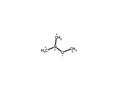 CO[Si](C)C